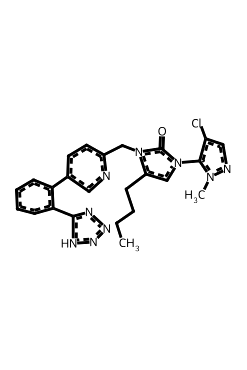 CCCCc1cn(-c2c(Cl)cnn2C)c(=O)n1Cc1ccc(-c2ccccc2-c2nnn[nH]2)cn1